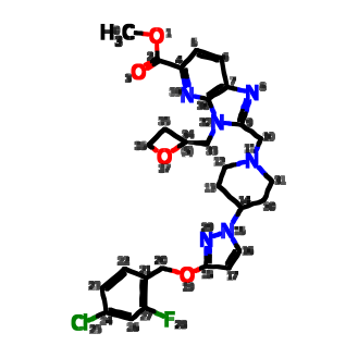 COC(=O)c1ccc2nc(CN3CCC(n4ccc(OCc5ccc(Cl)cc5F)n4)CC3)n(C[C@@H]3CCO3)c2n1